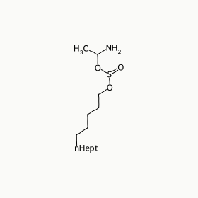 CCCCCCCCCCCCOS(=O)OC(C)N